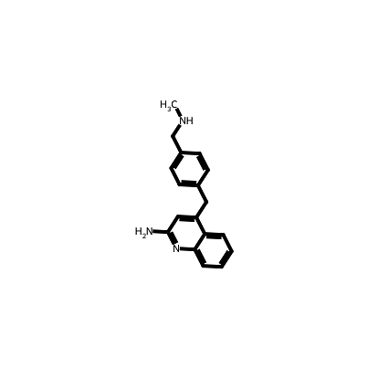 CNCc1ccc(Cc2cc(N)nc3ccccc23)cc1